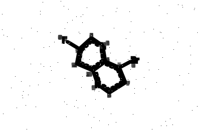 Fc1cnc2c(Br)ccnc2c1